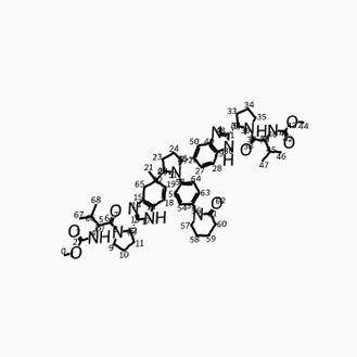 COC(=O)N[C@H](C(=O)N1CCC[C@H]1c1nc2c([nH]1)C=CC(C)([C@H]1CC[C@H](c3ccc4[nH]c([C@@H]5CCCN5C(=O)[C@@H](NC(=O)OC)C(C)C)nc4c3)N1c1ccc(N3CCCCC3=O)cc1)C2)C(C)C